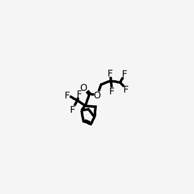 O=C(OCC(F)(F)C(F)F)C1(C(F)(F)F)CC2C=CC1C2